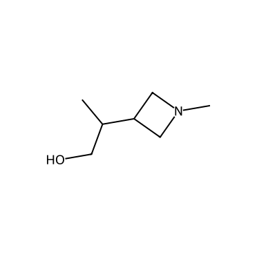 CC(CO)C1CN(C)C1